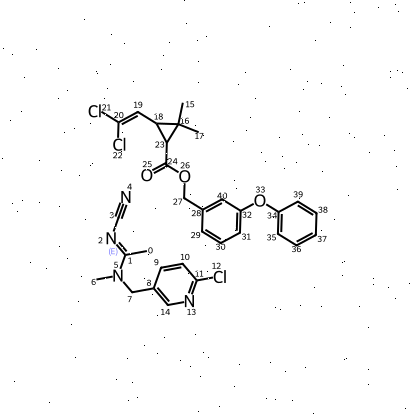 C/C(=N\C#N)N(C)Cc1ccc(Cl)nc1.CC1(C)C(C=C(Cl)Cl)C1C(=O)OCc1cccc(Oc2ccccc2)c1